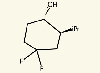 CC(C)[C@H]1CC(F)(F)CC[C@@H]1O